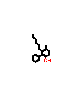 CCCCCCc1c(C)ccc(O)c1-c1ccccc1